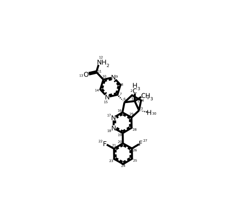 CC1(C)[C@H]2CC[C@]1(c1cnc(C(N)=O)cn1)c1nnc(-c3c(F)cccc3F)cc12